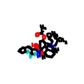 C=CC[N+]1(CC(C)C)CC[C@]23C4C5=C(OC(C)=O)C=C(O)C4(NC(=O)C(=Cc4ccccc4)C(F)(F)F)O[C@H]2CCC[C@H]3[C@H]1C5